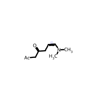 CC(=O)CC(=O)C/C=C\N(C)C